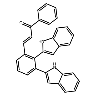 O=C(C=Cc1cccc(-c2cc3ccccc3[nH]2)c1-c1cc2ccccc2[nH]1)c1ccccc1